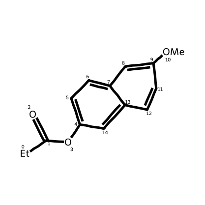 CCC(=O)Oc1ccc2cc(OC)ccc2c1